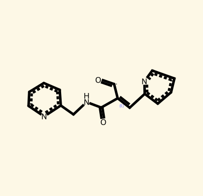 O=[C]/C(=C\c1ccccn1)C(=O)NCc1ccccn1